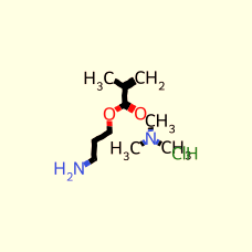 C=C(C)C(=O)OCCCN.CN(C)C.Cl